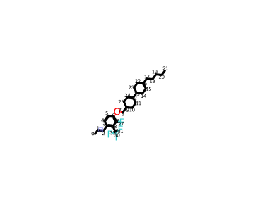 C/C=C/c1ccc(OCC2CCC(C3CCC(CCCCC)CC3)CC2)c(F)c1C(F)(F)F